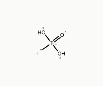 [O]=[Ti]([OH])([OH])[F]